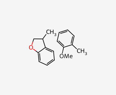 CC1COc2ccccc21.COc1ccccc1C